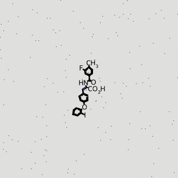 Cc1ccc(C(=O)N/C(=C/c2ccc(Oc3ccccc3I)cc2)C(=O)O)cc1F